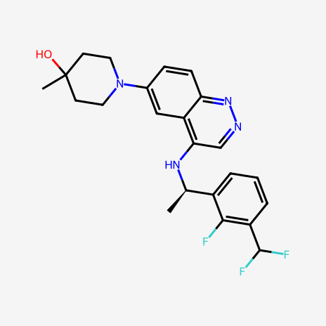 C[C@@H](Nc1cnnc2ccc(N3CCC(C)(O)CC3)cc12)c1cccc(C(F)F)c1F